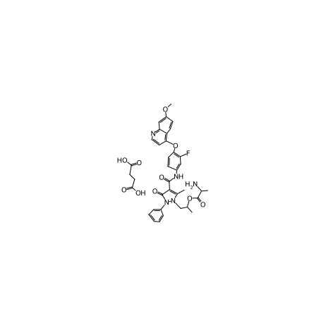 COc1ccc2c(Oc3ccc(NC(=O)c4c(C)n(CC(C)OC(=O)C(C)N)n(-c5ccccc5)c4=O)cc3F)ccnc2c1.O=C(O)CCC(=O)O